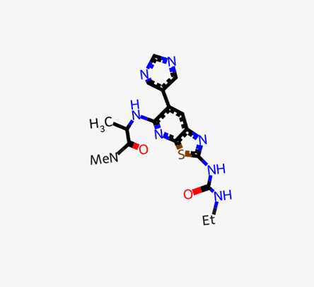 CCNC(=O)Nc1nc2cc(-c3cncnc3)c(NC(C)C(=O)NC)nc2s1